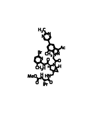 COC(=O)N[C@H](C(=O)NC[C@@]12C[C@@H](C(=O)Nc3nc(Br)ccc3C)N(C(=O)Cn3nc(C(C)=O)c4cc(-c5cnc(C)nc5)cc(C)c43)[C@@H]1C2)C(C)C